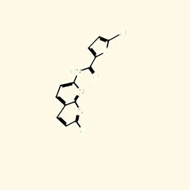 O=C(Nc1ccc2ccc(Cl)nc2n1)c1ccc(Cl)s1